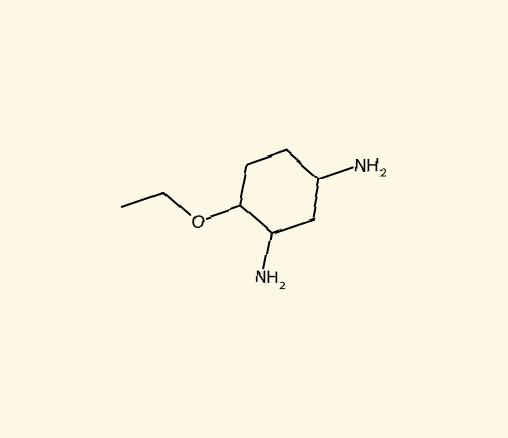 CCOC1CCC(N)CC1N